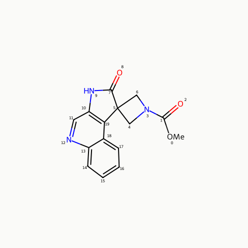 COC(=O)N1CC2(C1)C(=O)Nc1cnc3ccccc3c12